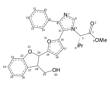 COC(=O)[C@H](C(C)C)n1cnc(-c2ccccc2)c1-c1ccc(C2Oc3ccccc3C2CO)o1